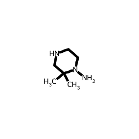 CC1(C)CNCCN1N